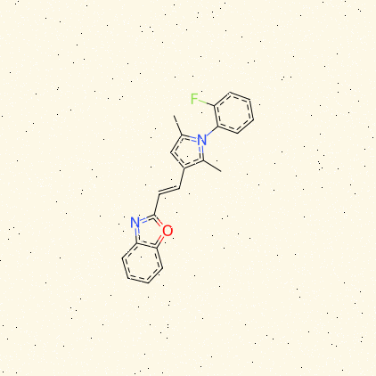 Cc1cc(C=Cc2nc3ccccc3o2)c(C)n1-c1ccccc1F